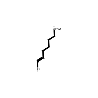 [CH2]CCCCCCCCC=CCC